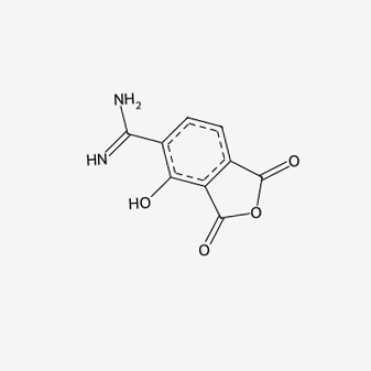 N=C(N)c1ccc2c(c1O)C(=O)OC2=O